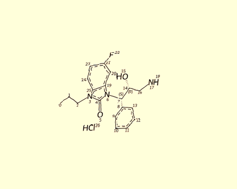 CCCn1c(=O)n([C@@H](c2ccccc2)[C@H](O)CNC)c2cc(F)ccc21.Cl